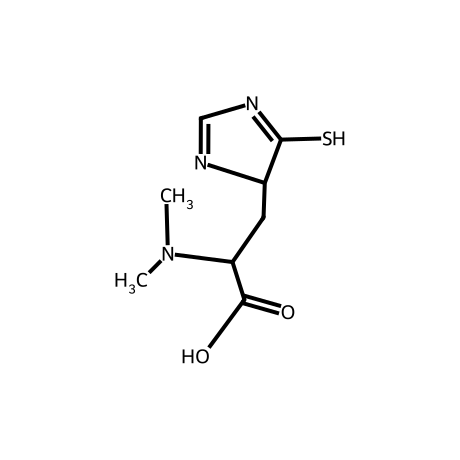 CN(C)C(CC1N=CN=C1S)C(=O)O